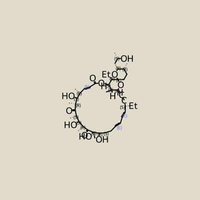 CC[C@@H]1/C=C/C=C/C[C@H](C)[C@@H](O)[C@](C)(O)C(=O)[C@H](C)[C@@H](O)[C@H](C)C(=O)[C@H](C)[C@@H](O)[C@H](C)/C=C/C(=O)O[C@H]2[C@@H](C)[C@@H](CC1)O[C@]1(CC[C@@H](C)[C@@H](C[C@H](C)O)O1)[C@@H]2CC